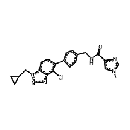 Cn1cnc(C(=O)NCc2ccc(-c3ccc4c(nnn4CC4CC4)c3Cl)cc2)c1